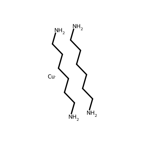 NCCCCCCN.NCCCCCCN.[Cu]